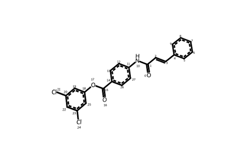 O=C(C=Cc1ccccc1)Nc1ccc(C(=O)Oc2cc(Cl)cc(Cl)c2)cc1